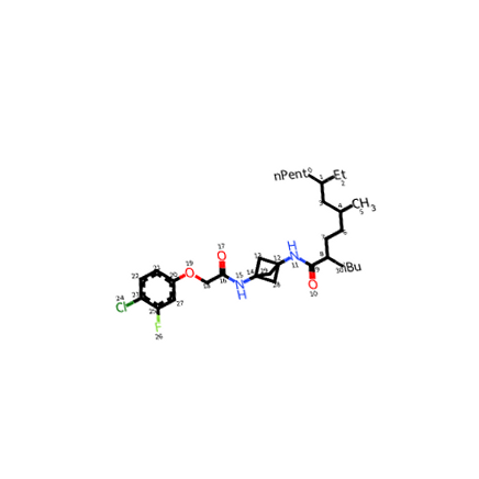 CCCCCC(CC)CC(C)CCC(C(=O)NC12CC(NC(=O)COc3ccc(Cl)c(F)c3)(C1)C2)C(C)CC